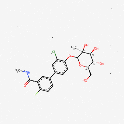 CNC(=O)c1cc(-c2ccc(OC3O[C@H](CO)[C@@H](O)[C@H](O)[C@]3(C)O)c(Cl)c2)ccc1F